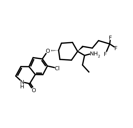 CCC(N)[C@]1(CCCC(F)(F)F)CC[C@H](Oc2cc3cc[nH]c(=O)c3cc2Cl)CC1